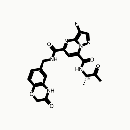 CC(=O)[C@H](C)NC(=O)c1cc(C(=O)NCc2ccc3c(c2)NC(=O)CO3)nc2c(F)cnn12